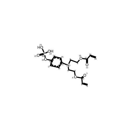 C=CC(=O)OCCN(CCOC(=O)C=C)c1ccc(OP(=O)(O)O)cc1